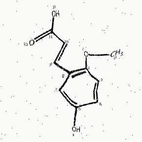 COc1ccc(O)cc1C=CC(=O)O